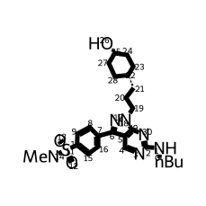 CCCCNc1ncc2c(-c3ccc(S(=O)(=O)NC)cc3)nn(CCC[C@H]3CC[C@H](O)CC3)c2n1